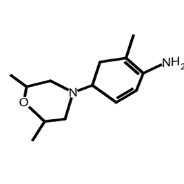 CC1=C(N)C=CC(N2CC(C)OC(C)C2)C1